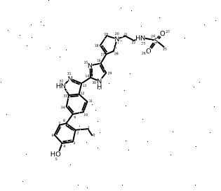 CCc1cc(O)ccc1-c1ccc2c(-c3nc(C4=CCN(CCNS(C)(=O)=O)C4)c[nH]3)n[nH]c2c1